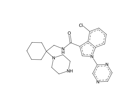 O=C(NCC1(N2CCNCC2)CCCCC1)c1cn(-c2cnccn2)c2cccc(Cl)c12